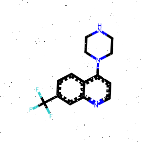 FC(F)(F)c1ccc2c(N3CCNCC3)ccnc2c1